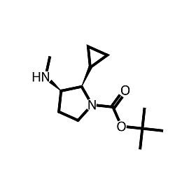 CN[C@@H]1CCN(C(=O)OC(C)(C)C)[C@@H]1C1CC1